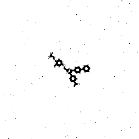 CC(=O)c1ccc(-c2nc(COc3ccc(OCC(=O)O)c(C)c3)sc2-c2ccc(-c3ccccc3)cc2)cc1